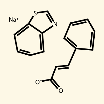 O=C([O-])C=Cc1ccccc1.[Na+].c1ccc2scnc2c1